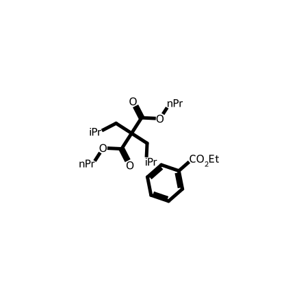 CCCOC(=O)C(CC(C)C)(CC(C)C)C(=O)OCCC.CCOC(=O)c1ccccc1